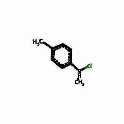 Cc1ccc([SiH](C)Cl)cc1